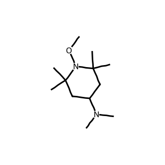 CON1C(C)(C)CC(N(C)C)CC1(C)C